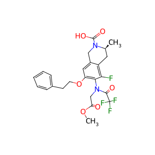 COC(=O)CN(C(=O)C(F)(F)F)c1c(OCCc2ccccc2)cc2c(c1F)C[C@H](C)N(C(=O)O)C2